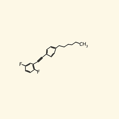 CCCCCCc1ccc(C#Cc2cc(F)ccc2F)cc1